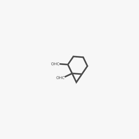 O=CC1CCCC2CC12C=O